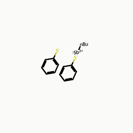 CCC[CH2][Sb+2].[S-]c1ccccc1.[S-]c1ccccc1